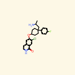 CC(N)CC1(c2ccc(F)cc2)CCC(Oc2cc3cc[nH]c(=O)c3cc2Cl)CC1